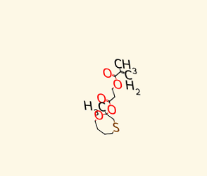 C=C(C)C(=O)OCCC(=O)OC1(C)CSCCCCO1